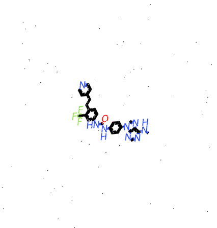 CNc1ncnc2c1ncn2-c1ccc(NC(=O)Nc2ccc(CCc3ccncc3)c(C(F)(F)F)c2)cc1